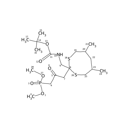 COP(=O)(CC(=O)CC1(CNC(=O)OC(C)(C)C)SCC(C)CC(C)CS1)OC